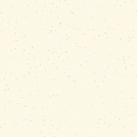 C=CN(C=C)CC.[Cl-].[H+]